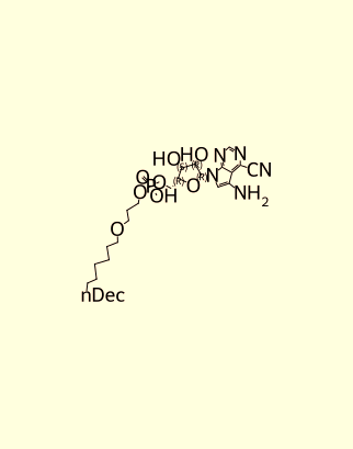 CCCCCCCCCCCCCCCCOCCCOP(=O)(O)OC[C@H]1O[C@@H](n2cc(N)c3c(C#N)ncnc32)[C@H](O)[C@@H]1O